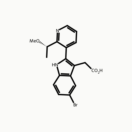 CO[C@@H](C)c1ncccc1-c1[nH]c2ccc(Br)cc2c1CC(=O)O